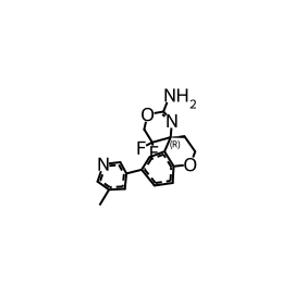 Cc1cncc(-c2ccc3c(c2)[C@@]2(CCO3)N=C(N)OCC2(F)F)c1